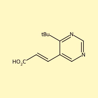 CC(C)(C)c1ncncc1/C=C/C(=O)O